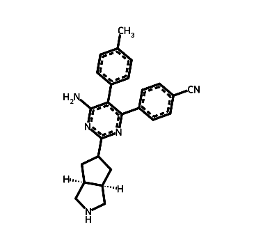 Cc1ccc(-c2c(N)nc(C3C[C@H]4CNC[C@H]4C3)nc2-c2ccc(C#N)cc2)cc1